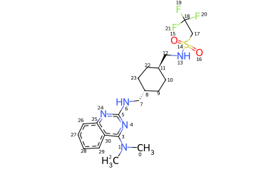 CN(C)c1nc(NC[C@H]2CC[C@H](CNS(=O)(=O)CC(F)(F)F)CC2)nc2ccccc12